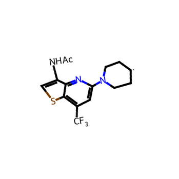 CC(=O)Nc1csc2c(C(F)(F)F)cc(N3CC[CH]CC3)nc12